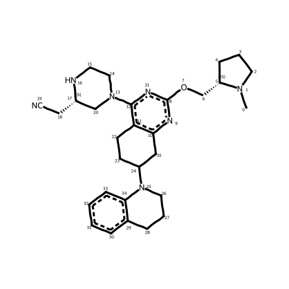 CN1CCC[C@H]1COc1nc2c(c(N3CCN[C@@H](CC#N)C3)n1)CCC(N1CCCc3ccccc31)C2